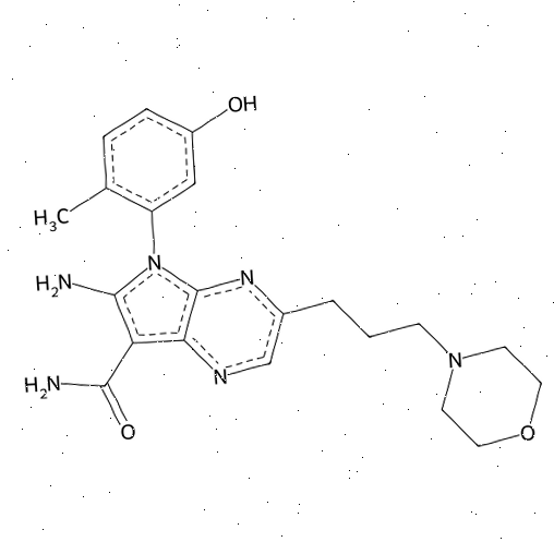 Cc1ccc(O)cc1-n1c(N)c(C(N)=O)c2ncc(CCCN3CCOCC3)nc21